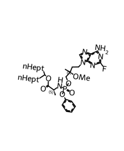 CCCCCCCC(CCCCCCC)OC(=O)[C@H](C)NP(=O)(OC[C@](C)(CCn1cnc2c(N)nc(F)nc21)OC)Oc1ccccc1